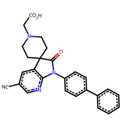 N#Cc1cnc2c(c1)C1(CCN(CC(=O)O)CC1)C(=O)N2c1ccc(-c2ccccc2)cc1